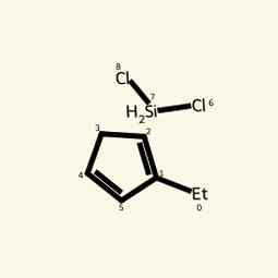 CCC1=CCC=C1.Cl[SiH2]Cl